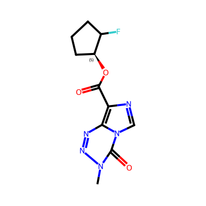 Cn1nnc2c(C(=O)O[C@H]3CCCC3F)ncn2c1=O